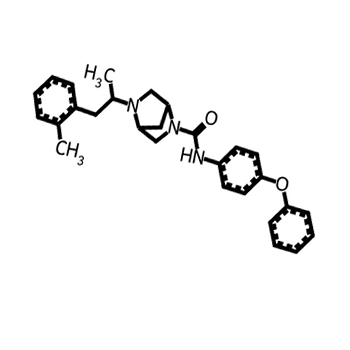 Cc1ccccc1CC(C)N1CC2CC1CN2C(=O)Nc1ccc(Oc2ccccc2)cc1